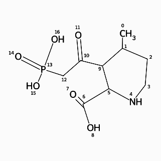 CC1CCNC(C(=O)O)C1C(=O)CP(=O)(O)O